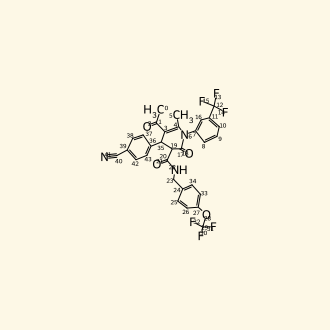 CC(=O)C1=C(C)N(c2cccc(C(F)(F)F)c2)C(=O)C(C(=O)NCc2ccc(OC(F)(F)F)cc2)C1c1ccc(C#N)cc1